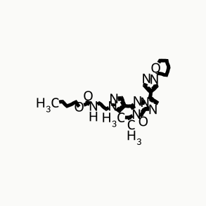 CCCCOC(=O)NCCn1cc(-c2nn3c(-c4cnn(C5CCCCO5)c4)cnc3c(=O)n2C(C)C)cn1